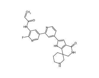 C=CC(=O)Nc1cc(-c2cc(-c3cc4c([nH]3)C3(CCCNC3)CNC4=O)ccn2)cnc1F